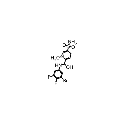 CN1C=C(S(N)(=O)=O)CC=C1C(O)Nc1cc(F)c(F)c(Br)c1